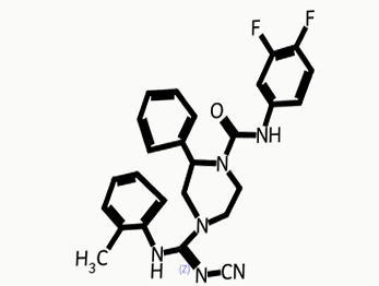 Cc1ccccc1N/C(=N/C#N)N1CCN(C(=O)Nc2ccc(F)c(F)c2)C(c2ccccc2)C1